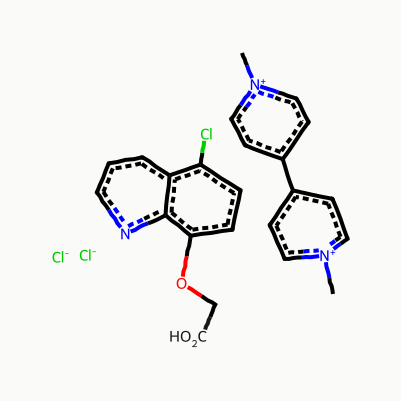 C[n+]1ccc(-c2cc[n+](C)cc2)cc1.O=C(O)COc1ccc(Cl)c2cccnc12.[Cl-].[Cl-]